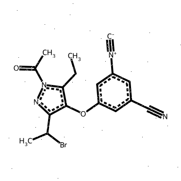 [C-]#[N+]c1cc(C#N)cc(Oc2c(C(C)Br)nn(C(C)=O)c2CC)c1